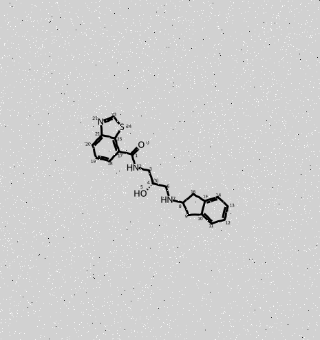 O=C(NC[C@@H](O)CNC1Cc2ccccc2C1)c1cccc2ncsc12